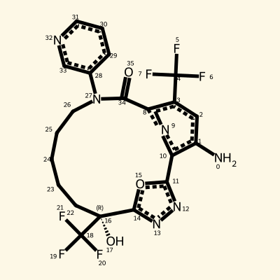 Nc1cc(C(F)(F)F)c2nc1-c1nnc(o1)[C@@](O)(C(F)(F)F)CCCCCN(c1cccnc1)C2=O